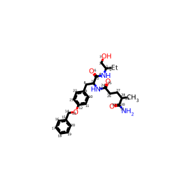 CCC(CO)NC(=O)C(Cc1ccc(OCc2ccccc2)cc1)NC(=O)[CH]CC(C)C(N)=O